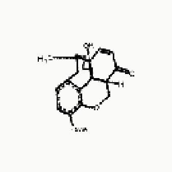 COc1ccc2c3c1OC[C@H]1C(=O)C=C[C@@]4(O)C(C2)N(C)CCC314